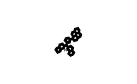 C1=CC2=CC=C3C=CC(c4cccc(-c5c6ccc7c(c6nc6c5ccc5ccccc56)CCC=C7)c4)=C4C=CC(=C1)C2C34